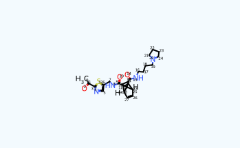 CC(=O)c1ncc(CNC(=O)[C@H]2[C@H](C(=O)NCCCCN3CCCC3)[C@H]3C=C[C@@H]2C32CC2)s1